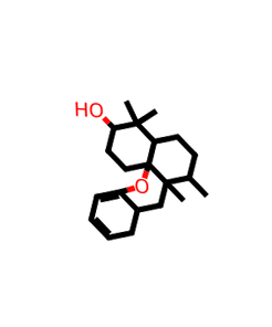 CC1CCC2C(C)(C)C(O)CCC23OC2=CC=CCC2CC13C